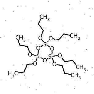 CCCO[Si]1(OCCC)O[Si](OCCC)(OCCC)O[Si](OCCC)(OCCC)O1